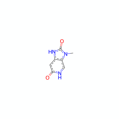 Cn1c(=O)[nH]c2cc(=O)[nH]cc21